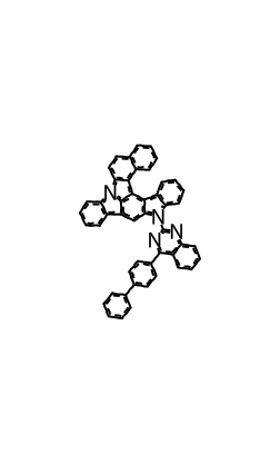 c1ccc(-c2ccc(-c3nc(-n4c5ccccc5c5c6c7c8ccccc8ccc7n7c8ccccc8c(cc54)c67)nc4ccccc34)cc2)cc1